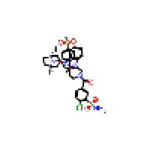 Cc1nc2ccccc2n1[C@H]1C[C@H]2CC[C@@H](C1)N2CCC1(c2ccc(S(C)(=O)=O)cc2)CCN(C(=O)c2ccc(Cl)c(S(N)(=O)=O)c2)CC1